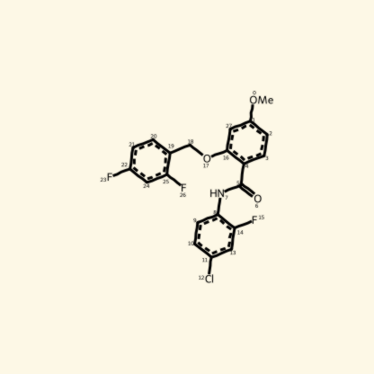 COc1ccc(C(=O)Nc2ccc(Cl)cc2F)c(OCc2ccc(F)cc2F)c1